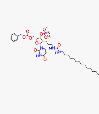 CCCCCCCCCCCCCCCNC(=O)NCCCC1[C@@H](OP(O)(=S)OC)[C@@H](COC(=O)OCc2ccccc2)O[C@H]1n1ccc(=O)[nH]c1=O